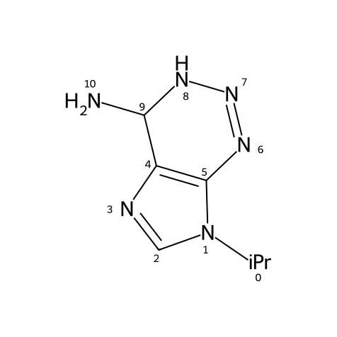 CC(C)n1cnc2c1N=NNC2N